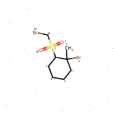 CC1(Br)CCCCC1S(=O)(=O)CBr